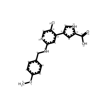 COc1ccc(CNc2cc(-c3c[nH]c(C(=O)O)c3)c(Cl)cn2)cc1